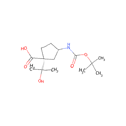 CC(C)(C)OC(=O)NC1CC[C@@](C(=O)O)(C(C)(C)O)C1